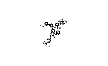 N#Cc1cc(S(=O)(=O)Nc2ncns2)ccc1Oc1ccc(-c2cccc(C(F)(F)F)c2)cc1-c1ccnc(CN(CCC2CCN(C(=O)C(F)(F)F)CC2)C(=O)OCc2ccccc2)c1